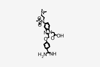 CN(C)CCN(c1ccc2c(c1)nc(COc1ccc(C(=N)N)cc1)n2CC(=O)O)S(C)(=O)=O